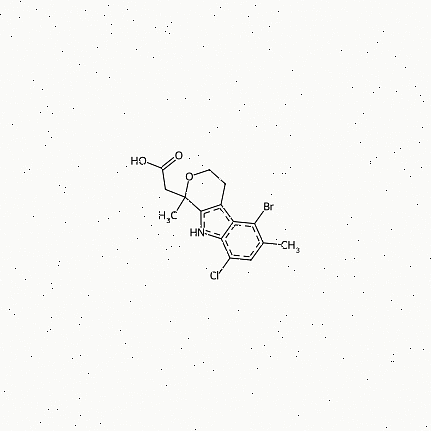 Cc1cc(Cl)c2[nH]c3c(c2c1Br)CCOC3(C)CC(=O)O